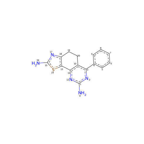 Nc1nc(-c2ccccc2)c2c(n1)-c1sc(N)nc1CC2